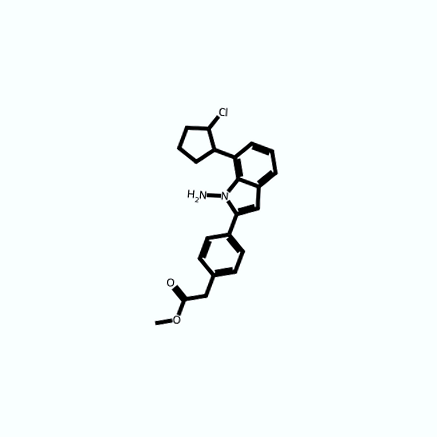 COC(=O)Cc1ccc(-c2cc3cccc(C4CCCC4Cl)c3n2N)cc1